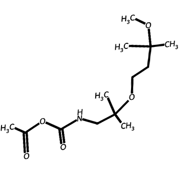 COC(C)(C)CCOC(C)(C)CNC(=O)OC(C)=O